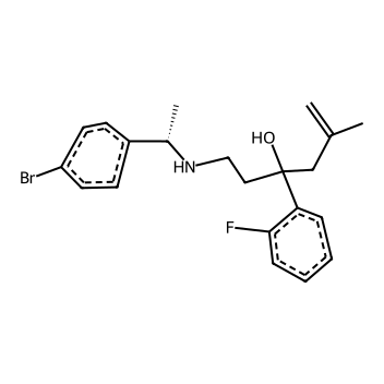 C=C(C)CC(O)(CCN[C@@H](C)c1ccc(Br)cc1)c1ccccc1F